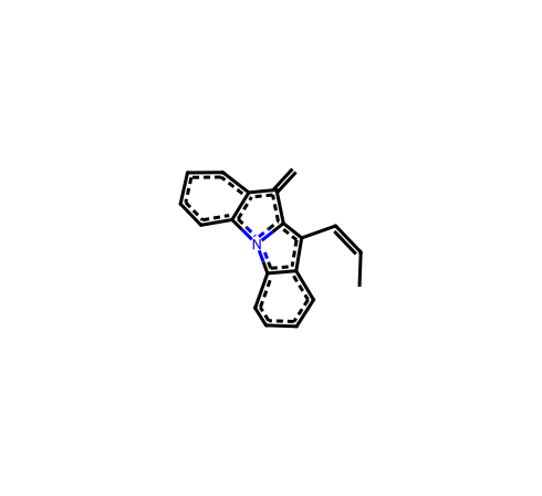 C=c1c2ccccc2n2c1c(/C=C\C)c1ccccc12